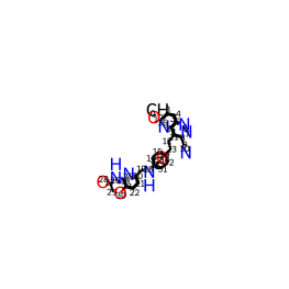 COc1ccc2nnc(C#N)c(CCC34CCC(NCc5ccc6c(n5)NC(=O)CO6)(CC3)CO4)c2n1